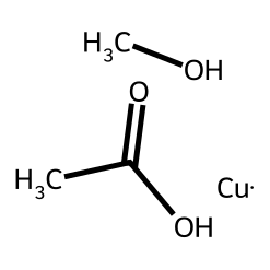 CC(=O)O.CO.[Cu]